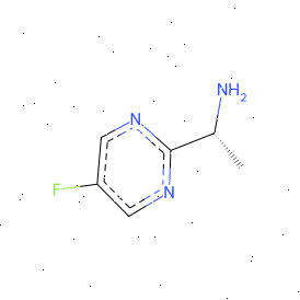 C[C@@H](N)c1ncc(F)cn1